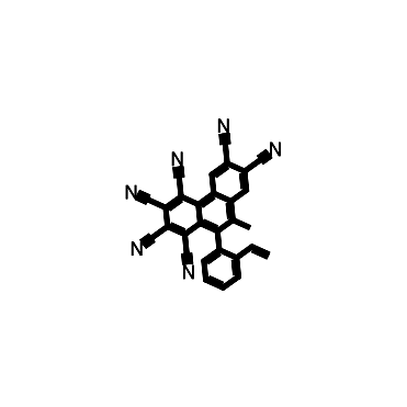 C=Cc1ccccc1-c1c(C)c2cc(C#N)c(C#N)cc2c2c(C#N)c(C#N)c(C#N)c(C#N)c12